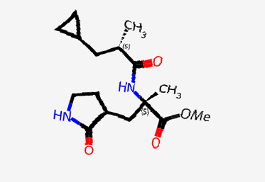 COC(=O)[C@](C)(CC1CCNC1=O)NC(=O)[C@@H](C)CC1CC1